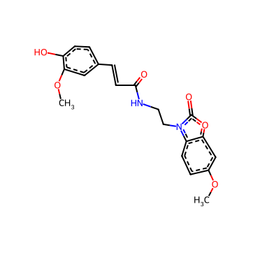 COc1ccc2c(c1)oc(=O)n2CCNC(=O)/C=C/c1ccc(O)c(OC)c1